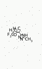 C=C/C(=C(\C)OC(F)(F)F)c1nnc(C)[nH]1